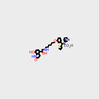 O=C(O)N(C1CN2CCC1CC2)[C@H](c1cccc(OCCCCCCNC[C@H](O)c2ccc(O)c3[nH]c(=O)ccc23)c1)c1cccs1